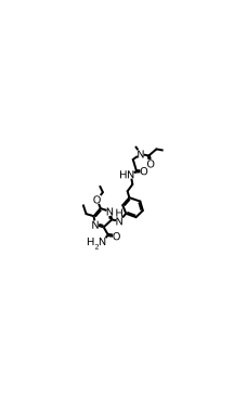 CCOc1nc(Nc2cccc(CCNC(=O)CN(C)C(=O)CC)c2)c(C(N)=O)nc1CC